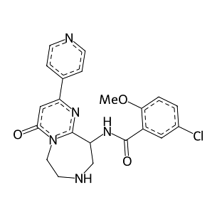 COc1ccc(Cl)cc1C(=O)NC1CNCCn2c1nc(-c1ccncc1)cc2=O